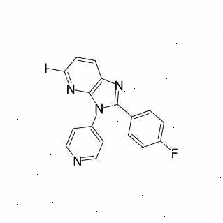 Fc1ccc(-c2nc3ccc(I)nc3n2-c2ccncc2)cc1